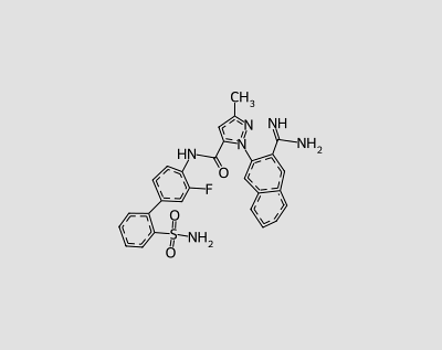 Cc1cc(C(=O)Nc2ccc(-c3ccccc3S(N)(=O)=O)cc2F)n(-c2cc3ccccc3cc2C(=N)N)n1